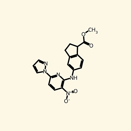 COC(=O)C1CCc2cc(Nc3nc(-n4cccn4)ccc3[N+](=O)[O-])ccc21